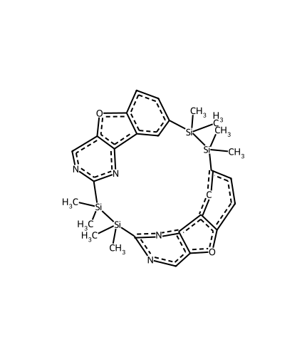 C[Si]1(C)c2ccc3oc4cnc(nc4c3c2)[Si](C)(C)[Si](C)(C)c2ncc3oc4ccc(cc4c3n2)[Si]1(C)C